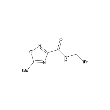 CC(C)CNC(=O)c1noc(C(C)(C)C)n1